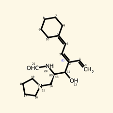 C=C/C(=C\C=C1CCCCC1)C(O)[C@@H](CN1CCCC1)NC=O